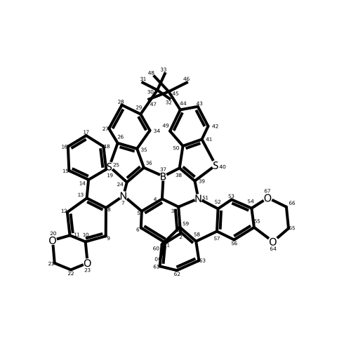 Cc1cc2c3c(c1)N(c1cc4c(cc1-c1ccccc1)OCCO4)c1sc4ccc(C(C)(C)C)cc4c1B3c1c(sc3ccc(C(C)(C)C)cc13)N2c1cc2c(cc1-c1ccccc1)OCCO2